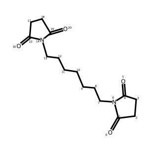 O=C1CCC(=O)N1CCCCCCCN1C(=O)CCC1=O